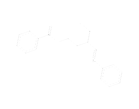 CCC(C=Nc1ccccc1)CCOC(=O)c1ccccc1